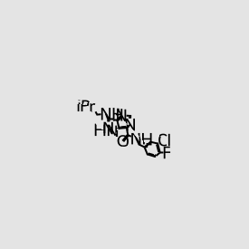 CC(C)CNc1n[nH]c2c(C(=O)NCc3ccc(F)c(Cl)c3)ncnc12